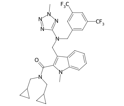 Cn1nnc(N(Cc2cc(C(F)(F)F)cc(C(F)(F)F)c2)Cc2c(C(=O)N(CC3CC3)CC3CC3)n(C)c3ccccc23)n1